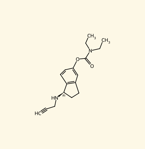 C#CCN[C@@H]1CCc2cc(OC(=O)N(CC)CC)ccc21